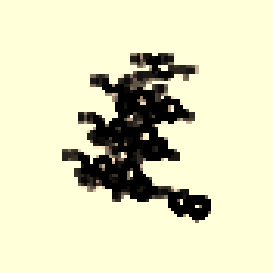 CN(CC(=O)O)C(=N)N.C[C@]12CCC(=O)C=C1CC[C@@H]1[C@@H]2C(=O)C[C@@]2(C)[C@H]1CC[C@]2(O)C(=O)CO.C[C@]12CCC(=O)C=C1CC[C@@H]1[C@@H]2[C@@H](O)C[C@@]2(C)[C@H]1CC[C@]2(O)C(=O)CO.C[C@]12C[C@H](O)[C@H]3[C@@H](CCC4=CC(=O)CC[C@@]43C)[C@@H]1CC[C@@H]2C(=O)CO.O=c1ccc2ccccc2o1